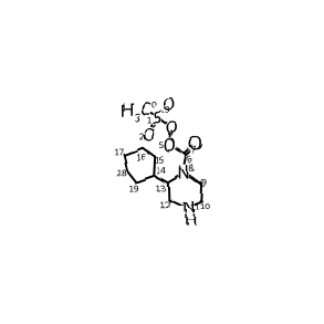 CS(=O)(=O)OOC(=O)N1CCNCC1C1CCCCC1